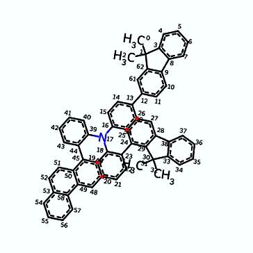 CC1(C)c2ccccc2-c2ccc(-c3ccc(N(c4ccccc4-c4cccc5c4C(C)(C)c4ccccc4-5)c4ccccc4-c4cccc5c4ccc4ccccc45)cc3)cc21